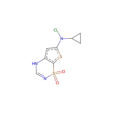 O=S1(=O)N=CNc2cc(N(Cl)C3CC3)sc21